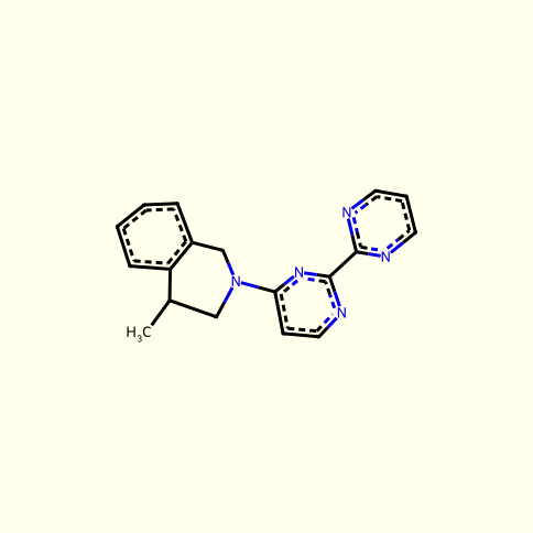 CC1CN(c2ccnc(-c3ncccn3)n2)Cc2ccccc21